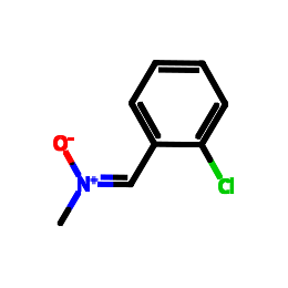 C[N+]([O-])=Cc1ccccc1Cl